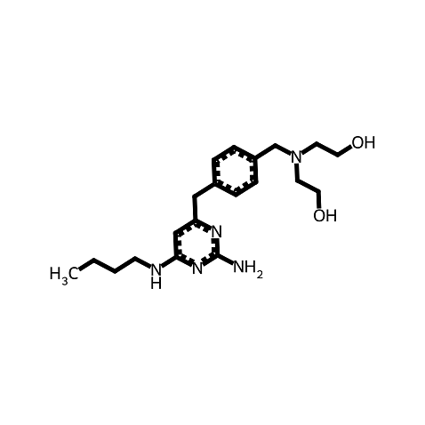 CCCCNc1cc(Cc2ccc(CN(CCO)CCO)cc2)nc(N)n1